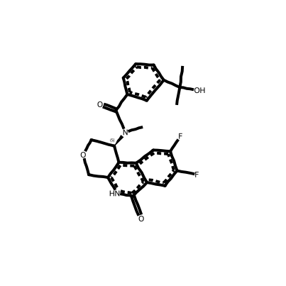 CN(C(=O)c1cccc(C(C)(C)O)c1)[C@@H]1COCc2[nH]c(=O)c3cc(F)c(F)cc3c21